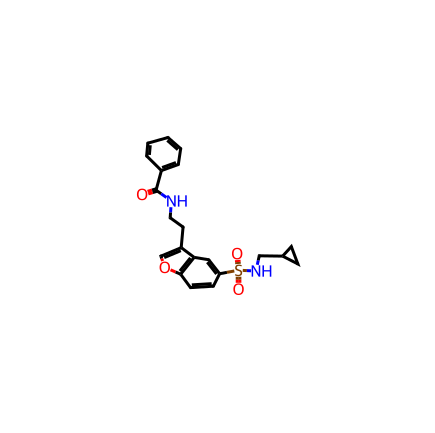 O=C(NCCc1coc2ccc(S(=O)(=O)NCC3CC3)cc12)c1ccccc1